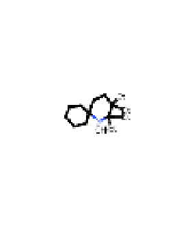 [CH]N1C2(CCCCC2)CCC(CC)(CC)C1(CC)CC